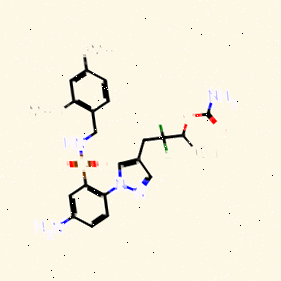 COc1ccc(CNS(=O)(=O)c2cc(N)ccc2-n2cc(CC(F)(F)C(OC(N)=O)C(C)(C)C)cn2)c(OC)c1